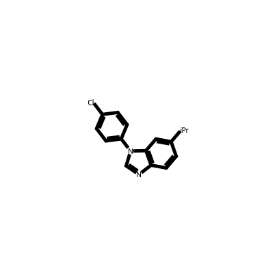 CC(C)c1ccc2ncn(-c3ccc(Cl)cc3)c2c1